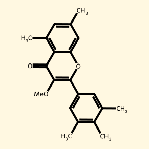 COc1c(-c2cc(C)c(C)c(C)c2)oc2cc(C)cc(C)c2c1=O